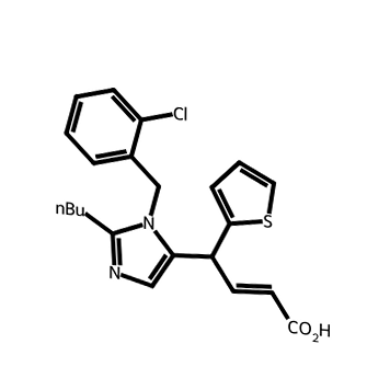 CCCCc1ncc(C(C=CC(=O)O)c2cccs2)n1Cc1ccccc1Cl